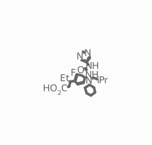 CCC(CC(=O)O)C1=C(F)CC(NC(=O)Nc2cncnc2)(N(CC(C)C)C2CCCCC2)C=C1